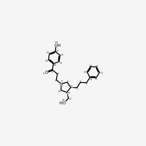 O=C(CCN1C[C@@H](CCCc2ccccc2)[C@@H](CO)C1)c1ccc(O)cc1